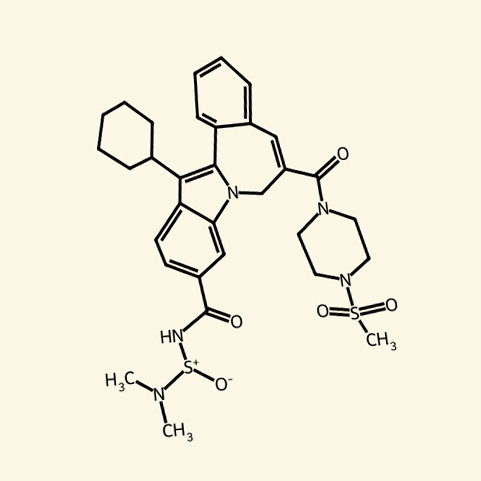 CN(C)[S+]([O-])NC(=O)c1ccc2c(C3CCCCC3)c3n(c2c1)CC(C(=O)N1CCN(S(C)(=O)=O)CC1)=Cc1ccccc1-3